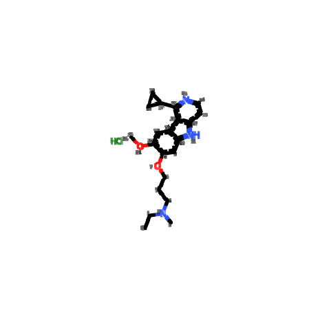 CCN(C)CCCOc1cc2[nH]c3ccnc(C4CC4)c3c2cc1OC.Cl